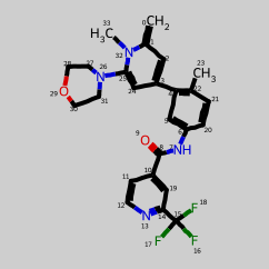 C=C1C=C(c2cc(NC(=O)c3ccnc(C(F)(F)F)c3)ccc2C)C=C(N2CCOCC2)N1C